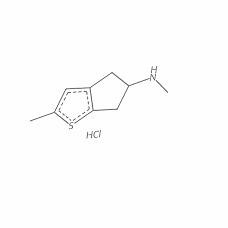 CNC1Cc2cc(C)sc2C1.Cl